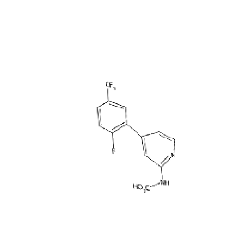 O=C(O)Nc1cc(-c2cc(C(F)(F)F)ccc2F)ccn1